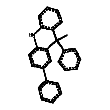 CC1(c2ccccc2)c2ccccc2Nc2ccc(-c3ccccc3)cc21